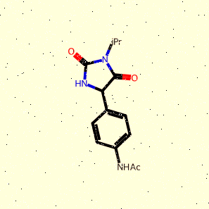 CC(=O)Nc1ccc(C2NC(=O)N(C(C)C)C2=O)cc1